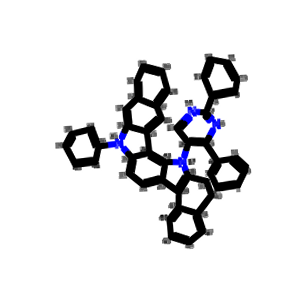 c1cccc(-c2nc(-c3ccccc3)ncc2-n2c3c(c4ccc5c(c6cc7ccccc7cc6n5-c5ccccc5)c42)-c2ccccc2CC3)c#1